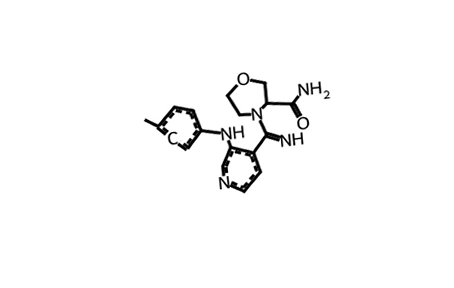 Cc1ccc(Nc2cnccc2C(=N)N2CCOCC2C(N)=O)cc1